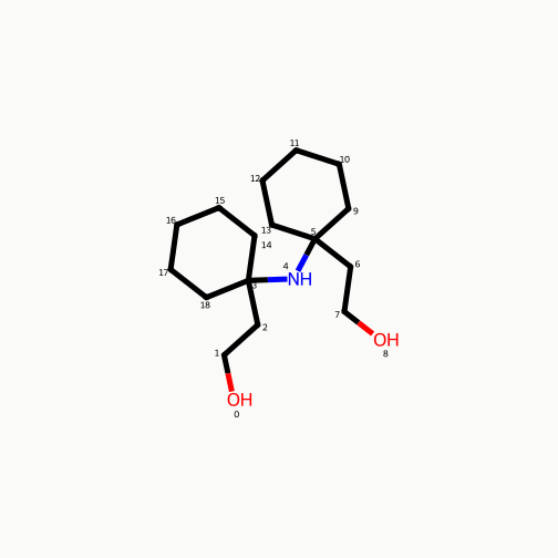 OCCC1(NC2(CCO)CCCCC2)CCCCC1